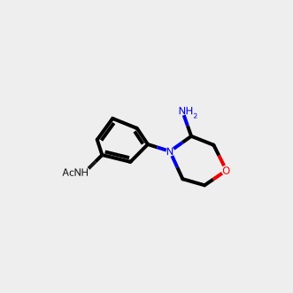 CC(=O)Nc1cccc(N2CCOCC2N)c1